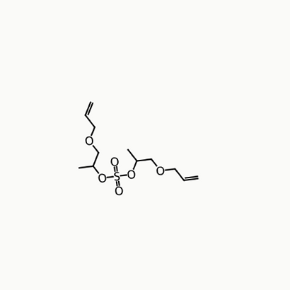 C=CCOCC(C)OS(=O)(=O)OC(C)COCC=C